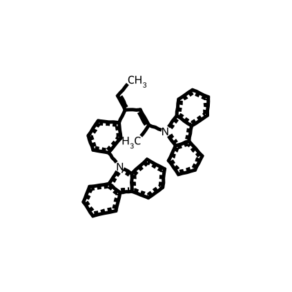 C/C=C(\C=C(/C)n1c2ccccc2c2ccccc21)c1cccc(-n2c3ccccc3c3ccccc32)c1